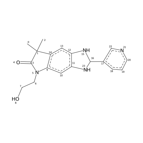 CC1(C)C(=O)N(CCO)c2cc3c(cc21)NC(c1cccnc1)N3